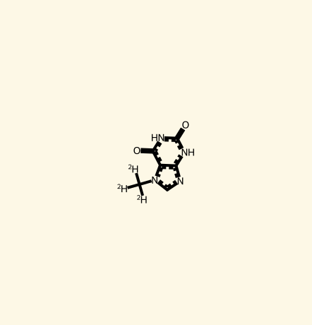 [2H]C([2H])([2H])n1cnc2[nH]c(=O)[nH]c(=O)c21